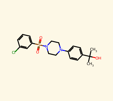 CC(C)(O)c1ccc(N2CCN(S(=O)(=O)c3cccc(Cl)c3)CC2)cc1